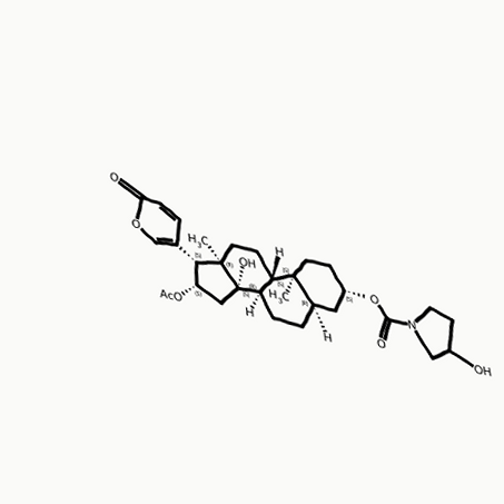 CC(=O)O[C@H]1C[C@]2(O)[C@@H]3CC[C@@H]4C[C@@H](OC(=O)N5CCC(O)C5)CC[C@]4(C)[C@H]3CC[C@]2(C)[C@H]1c1ccc(=O)oc1